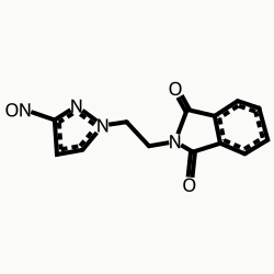 O=Nc1ccn(CCN2C(=O)c3ccccc3C2=O)n1